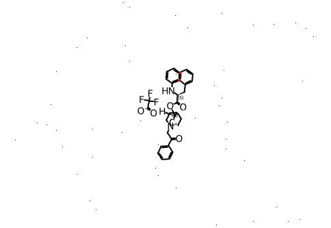 O=C(C[N+]12CCC(CC1)[C@@H](OC(=O)[C@H](Cc1ccccc1)Nc1ccccc1)C2)c1ccccc1.O=C([O-])C(F)(F)F